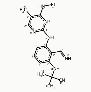 CCNc1nc(Nc2cccc(NC(C)(C)C#N)c2C=N)ncc1C(F)(F)F